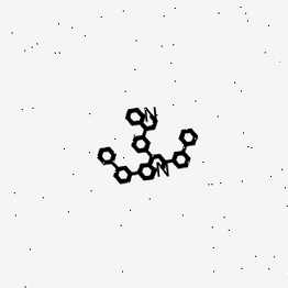 c1ccc(-c2cccc(-c3ccc4nc(-c5cccc(-c6ccccc6)c5)cc(-c5cccc(-c6ccnc7ccccc67)c5)c4c3)c2)cc1